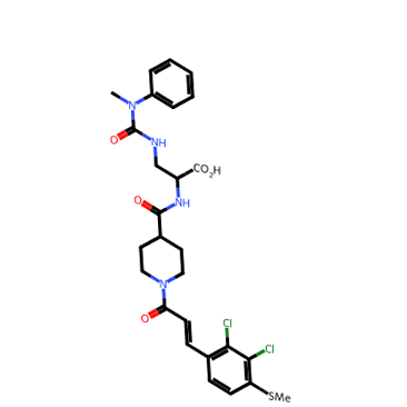 CSc1ccc(C=CC(=O)N2CCC(C(=O)NC(CNC(=O)N(C)c3ccccc3)C(=O)O)CC2)c(Cl)c1Cl